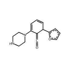 O=C=C1C(N2CCNCC2)=CC=CC1c1ccco1